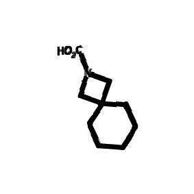 O=C(O)N1CC2(CCCCC2)C1